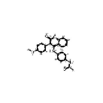 COc1ccc(-c2c(Nc3ccc(NC(C)=O)cc3)c3ccccc3oc2=O)cc1